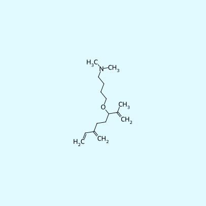 C=CC(=C)CCC(OCCCCN(C)C)C(=C)C